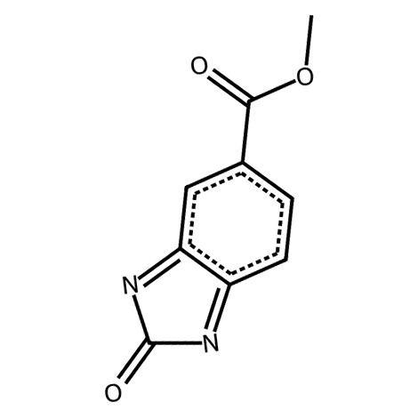 COC(=O)c1ccc2c(c1)=NC(=O)N=2